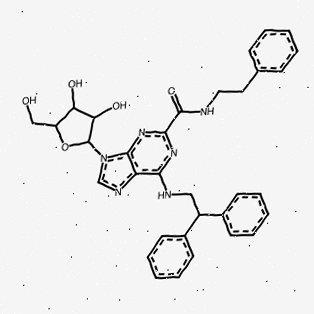 O=C(NCCc1ccccc1)c1nc(NCC(c2ccccc2)c2ccccc2)c2ncn(C3OC(CO)C(O)C3O)c2n1